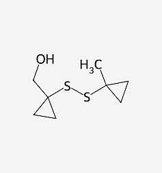 CC1(SSC2(CO)CC2)CC1